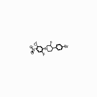 COc1cc(N2CCC(c3ccc(Br)cc3)C(F)C2)c(F)cc1[N+](=O)[O-]